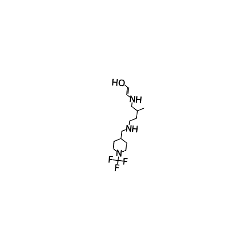 CC(CCNCC1CCN(C(F)(F)F)CC1)CN/C=C/O